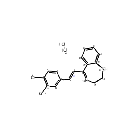 Cl.Cl.Clc1ccc(/C=C/C2=NCCNc3ccccc32)cc1Cl